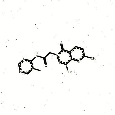 Cc1cncnc1NC(=O)Cn1nc(C(C)C)c2nc(C(F)(F)F)ccc2c1=O